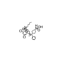 CCCCCN(C)S(=O)(=O)c1c(Cl)cc(Cl)cc1Cl.CN(C)C(c1ccccc1)C1CCC(NC(=O)O)CC1